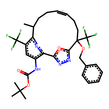 CC1CC/C=C\CCC(OCc2ccccc2)(C(F)(F)F)c2nnc(o2)-c2nc1c(C(F)(F)F)cc2NC(=O)OC(C)(C)C